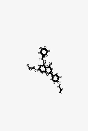 C=CCOc1ccc(-c2cc(=O)c3c(OCc4ccccc4)cc(OCOC)cc3o2)cc1